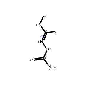 CS/C(C)=N/OC(N)=O